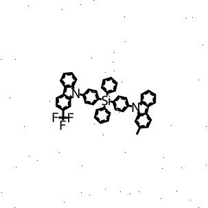 Cc1ccc2c3ccccc3n(-c3ccc([Si](c4ccccc4)(c4ccccc4)c4ccc(-n5c6ccccc6c6ccc(C(F)(F)F)cc65)cc4)cc3)c2c1